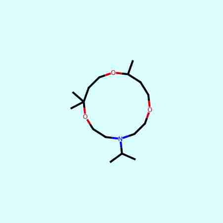 CC1CCOCCN(C(C)C)CCOC(C)(C)CCO1